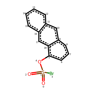 O=S(=O)(Br)Oc1cccc2cc3ccccc3cc12